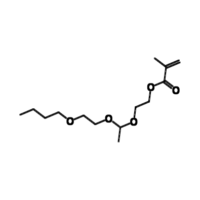 C=C(C)C(=O)OCCOC(C)OCCOCCCC